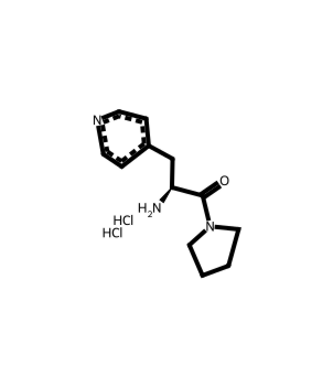 Cl.Cl.N[C@@H](Cc1ccncc1)C(=O)N1CCCC1